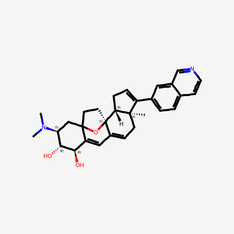 CN(C)[C@H]1CC23CC[C@@]4(O2)C(=CC[C@]2(C)C(c5ccc6ccncc6c5)=CC[C@H]24)C=C3[C@@H](O)[C@@H]1O